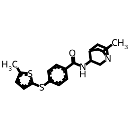 Cc1ccc(Sc2ccc(C(=O)NC3CN4CCC3CC4C)cc2)s1